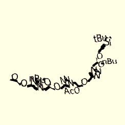 CCCCO[C@@H](COCC#C[Si](C)(C)C(C)(C)C)Cn1cc(COC[C@@H](Cn2cc(COC[C@@H](Cn3cc(COC[C@H]4CO4)nn3)OCCCC)nn2)OC(C)=O)nn1